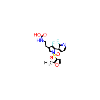 Cc1occc1S(=O)(=O)n1cc(CCNC(=O)O)c(F)c1-c1cccnc1F